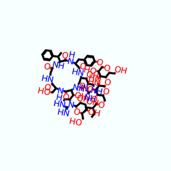 CCC(CC)C1OCC2OC(OC3C(CO)OC(Oc4ccc(CC5NC(=O)C(C(C)c6ccccc6)NC(=O)CNC(=O)C(CO)NC(=O)C(C(O)C6CNC(=N)N6C6OC(CO)C(O)C(O)C6O)NC(=O)C(C(O)C6CNC(=N)N6)NC5=O)cc4)C(O)C3O)C(O)C(O)C2O1